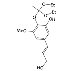 CCOC(C)(OCC)Oc1c(O)cc(C=CCO)cc1OC